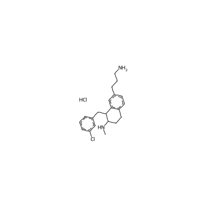 CNC1CCc2ccc(CCCN)cc2C1Cc1cccc(Cl)c1.Cl